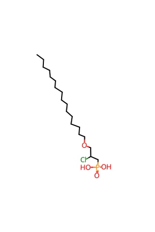 CCCCCCCCCCCCCCCCOCC(Cl)CP(=O)(O)O